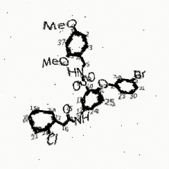 COc1ccc(CNS(=O)(=O)c2cc(NC(=O)Cc3ccccc3Cl)ccc2Oc2cccc(Br)c2)c(OC)c1